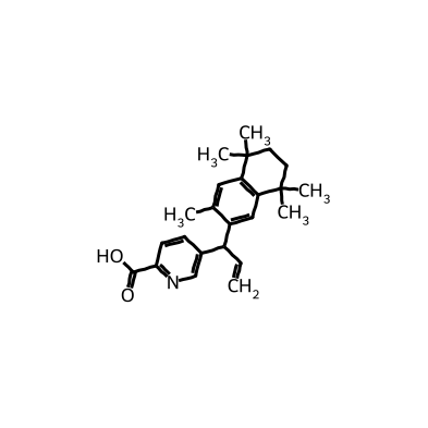 C=CC(c1ccc(C(=O)O)nc1)c1cc2c(cc1C)C(C)(C)CCC2(C)C